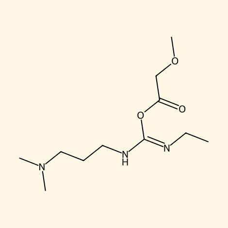 CC/N=C(/NCCCN(C)C)OC(=O)COC